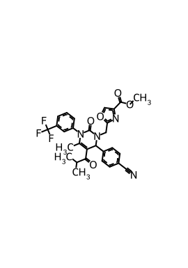 COC(=O)c1coc(CN2C(=O)N(c3cccc(C(F)(F)F)c3)C(C)=C(C(=O)C(C)C)C2c2ccc(C#N)cc2)n1